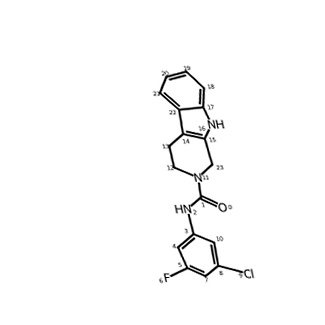 O=C(Nc1cc(F)cc(Cl)c1)N1CCc2c([nH]c3ccccc23)C1